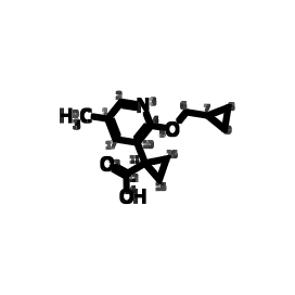 Cc1cnc(OCC2CC2)c(C2(C(=O)O)CC2)c1